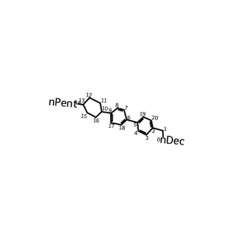 CCCCCCCCCCCc1ccc(-c2ccc(C3CCC(CCCCC)CC3)cc2)cc1